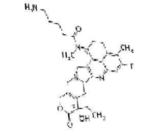 CC[C@@]1(O)C(=O)OCC2=C1C=C1c3nc4cc(F)c(C)c5c4c(c3CN1C2)[C@@H](N(C)C(=O)CCCCN)CC5